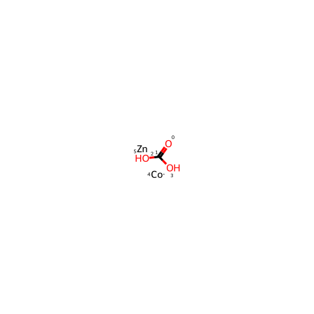 O=C(O)O.[Co].[Zn]